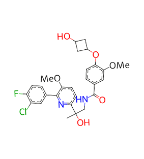 COc1cc(C(=O)NCC(C)(O)c2ccc(OC)c(-c3ccc(F)c(Cl)c3)n2)ccc1OC1CC(O)C1